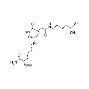 CCCC(=O)N(CC(=O)NCCCCC(C)C(C)=O)CC(=O)NCCCCC(NC)C(N)=O